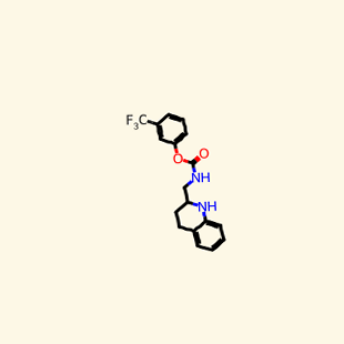 O=C(NCC1CCc2ccccc2N1)Oc1cccc(C(F)(F)F)c1